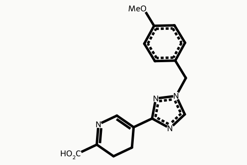 COc1ccc(Cn2cnc(C3=CN=C(C(=O)O)CC3)n2)cc1